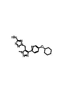 CCCCc1nnn(Cc2c(-c3ccc(OC4CCCCC4)cn3)nnn2C)n1